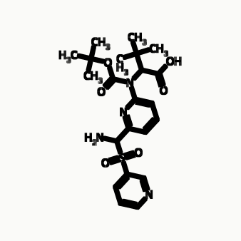 CC(C)(C)OC(=O)N(c1cccc(C(N)S(=O)(=O)c2cccnc2)n1)C(C(=O)O)C(C)(C)C